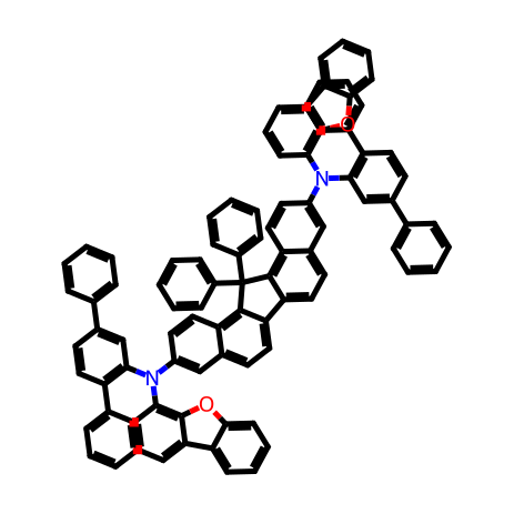 c1ccc(-c2ccc(-c3ccccc3)c(N(c3ccc4c5c(ccc4c3)-c3ccc4cc(N(c6cc(-c7ccccc7)ccc6-c6ccccc6)c6cccc7c6oc6ccccc67)ccc4c3C5(c3ccccc3)c3ccccc3)c3cccc4c3oc3ccccc34)c2)cc1